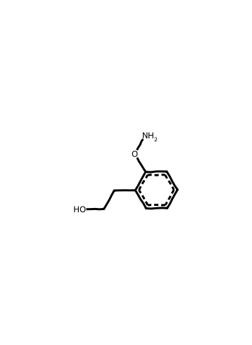 NOc1ccccc1CCO